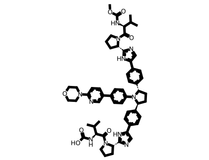 COC(=O)N[C@H](C(=O)N1CCC[C@H]1c1ncc(-c2ccc([C@@H]3CC[C@@H](c4ccc(-c5cnc([C@@H]6CCCN6C(=O)[C@@H](NC(=O)O)C(C)C)[nH]5)cc4)N3c3ccc(-c4ccc(N5CCOCC5)nc4)cc3)cc2)[nH]1)C(C)C